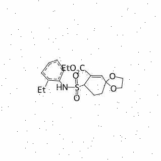 CCOC(=O)C1=CC2(CCC1S(=O)(=O)Nc1ccccc1CC)OCCO2